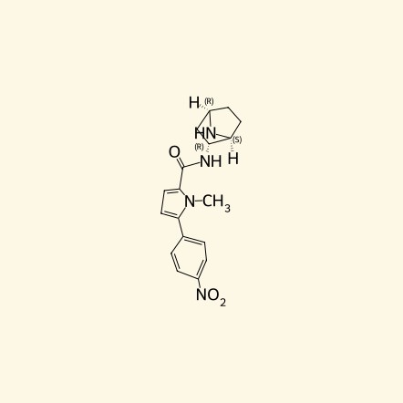 Cn1c(C(=O)N[C@@H]2C[C@H]3CC[C@@H]2N3)ccc1-c1ccc([N+](=O)[O-])cc1